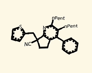 CCCCCc1nc2c(c(-c3ccccc3)c1CCCCC)CCC2(C#N)Cc1cccs1